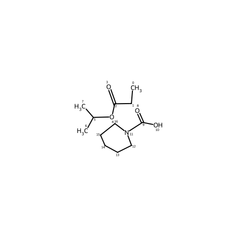 CCC(=O)OC(C)C.O=C(O)N1CCCCC1